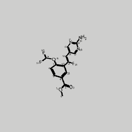 COC(=O)c1ccc(OC(F)F)c(/C(F)=C/c2cnc(N)nc2)c1